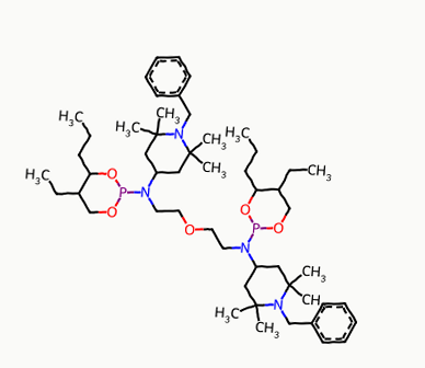 CCCC1OP(N(CCOCCN(C2CC(C)(C)N(Cc3ccccc3)C(C)(C)C2)P2OCC(CC)C(CCC)O2)C2CC(C)(C)N(Cc3ccccc3)C(C)(C)C2)OCC1CC